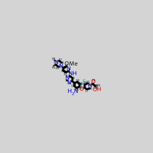 COc1nc(NC2=NC=NC(C3=CC(N)C(OC4CCN(C(=O)[C@H](C)O)CC4(F)F)C=C3)C2)ccc1N1CCN(C)[C@H](C)C1